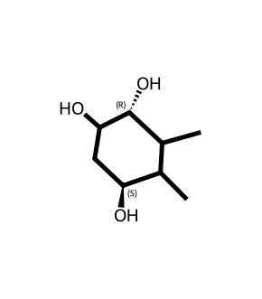 CC1C(C)[C@@H](O)CC(O)[C@@H]1O